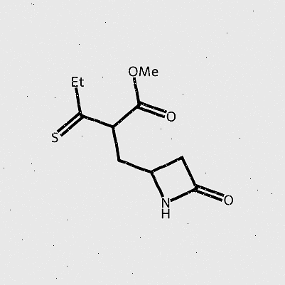 CCC(=S)C(CC1CC(=O)N1)C(=O)OC